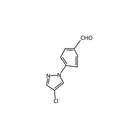 O=Cc1ccc(-n2cc(Cl)cn2)cc1